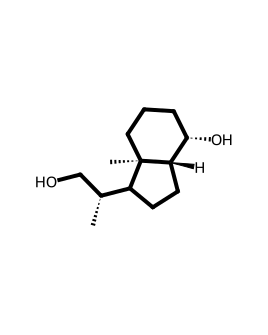 C[C@H](CO)C1CC[C@H]2[C@@H](O)CCC[C@]12C